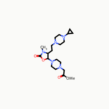 COC(=O)CN1CCN(C2OC(=O)N(C)C2CCN2CCN(C3CC3)CC2)CC1